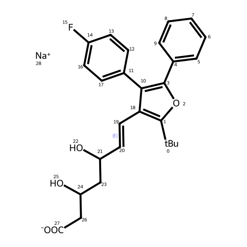 CC(C)(C)c1oc(-c2ccccc2)c(-c2ccc(F)cc2)c1/C=C/C(O)CC(O)CC(=O)[O-].[Na+]